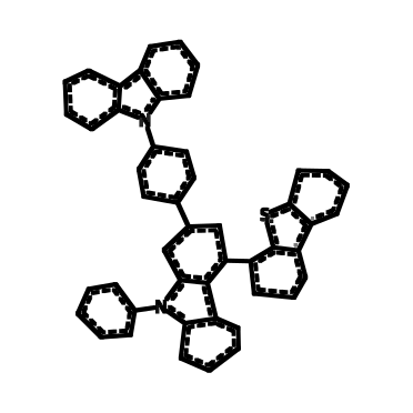 c1ccc(-n2c3ccccc3c3c(-c4cccc5c4sc4ccccc45)cc(-c4ccc(-n5c6ccccc6c6ccccc65)cc4)cc32)cc1